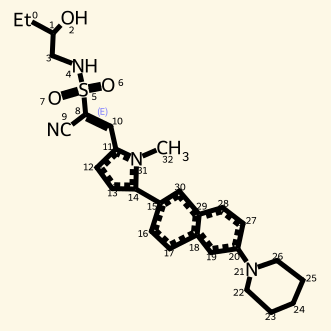 CCC(O)CNS(=O)(=O)/C(C#N)=C/c1ccc(-c2ccc3cc(N4CCCCC4)ccc3c2)n1C